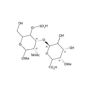 COC1OC(CO)C(OS(=O)(=O)O)[C@H](O[C@@H]2OC(C(=O)O)[C@@H](OC)[C@@H](O)C2O)[C@@H]1NC(C)=O